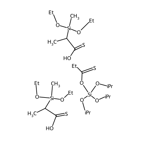 CCC(=S)O[Si](OC(C)C)(OC(C)C)OC(C)C.CCO[Si](C)(OCC)C(C)C(O)=S.CCO[Si](C)(OCC)C(C)C(O)=S